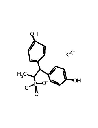 CC(C(c1ccc(O)cc1)c1ccc(O)cc1)P(=O)([O-])[O-].[K+].[K+]